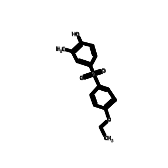 CCOc1ccc(S(=O)(=O)c2ccc(O)c(C)c2)cc1